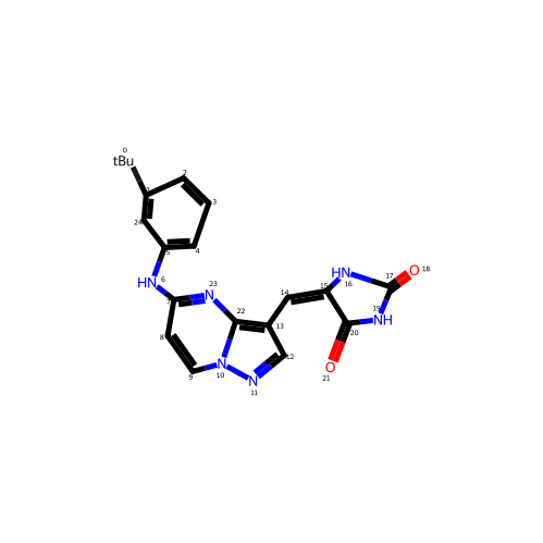 CC(C)(C)c1cccc(Nc2ccn3ncc(/C=C4/NC(=O)NC4=O)c3n2)c1